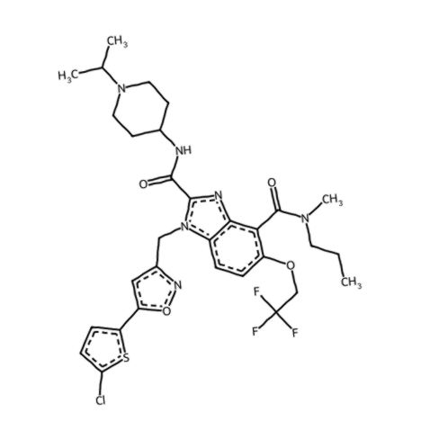 CCCN(C)C(=O)c1c(OCC(F)(F)F)ccc2c1nc(C(=O)NC1CCN(C(C)C)CC1)n2Cc1cc(-c2ccc(Cl)s2)on1